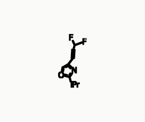 CC(C)c1nc(C#CC(F)F)co1